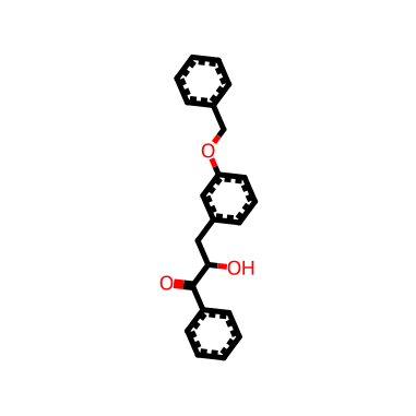 O=C(c1ccccc1)C(O)Cc1cccc(OCc2ccccc2)c1